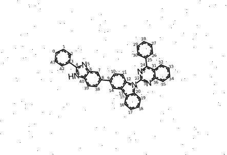 c1ccc(-c2nc3cc(-c4ccc5c(c4)c4ccccc4n5-c4nc(-c5ccccc5)c5ccccc5n4)ccc3[nH]2)cc1